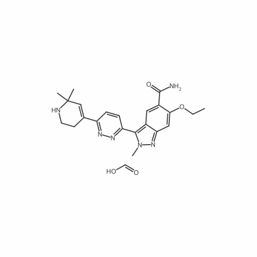 CCOc1cc2nn(C)c(-c3ccc(C4=CC(C)(C)NCC4)nn3)c2cc1C(N)=O.O=CO